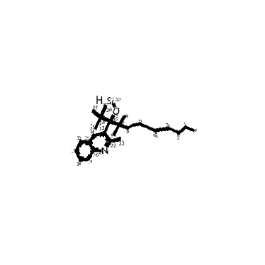 CCCCCCCC(C)(C)C(O[SiH3])(c1cc2ccccc2nc1C)C(C)(C)C